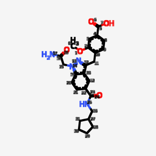 COc1cc(C(=O)O)ccc1Cc1nn(CC(N)=O)c2ccc(C(=O)NCC3CCCC3)cc12